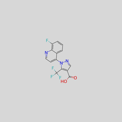 O=C(O)c1cnn(-c2ccnc3c(F)cccc23)c1C(F)(F)F